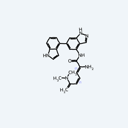 C=C(/C=C\C=C(/N)C(=O)Nc1cc(-c2cccc3[nH]ccc23)cc2[nH]ncc12)N(C)C